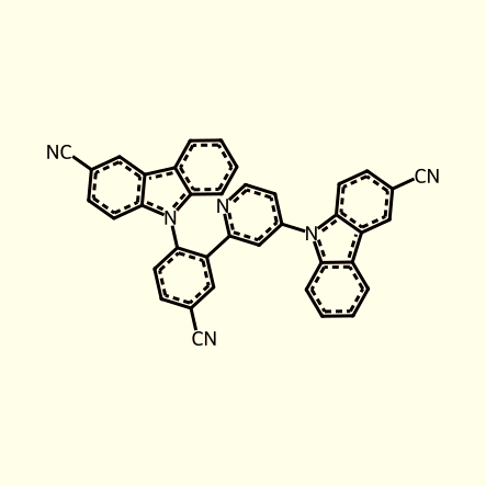 N#Cc1ccc(-n2c3ccccc3c3cc(C#N)ccc32)c(-c2cc(-n3c4ccccc4c4cc(C#N)ccc43)ccn2)c1